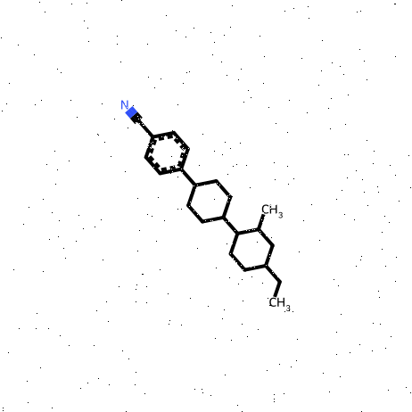 CCC1CCC(C2CCC(c3ccc(C#N)cc3)CC2)C(C)C1